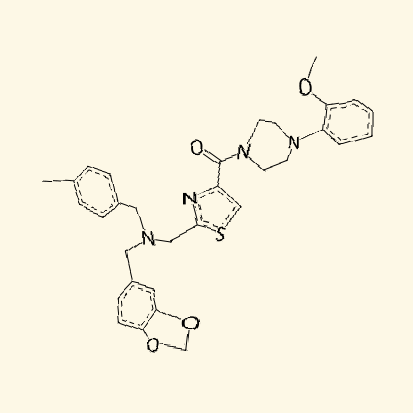 COc1ccccc1N1CCN(C(=O)c2csc(CN(Cc3ccc(C)cc3)Cc3ccc4c(c3)OCO4)n2)CC1